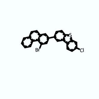 Clc1ccc2c(c1)sc1ccc(-c3cc(Br)c4c(ccc5ccccc54)c3)cc12